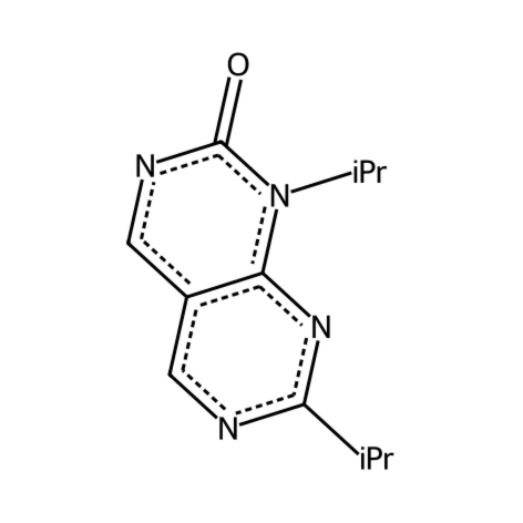 CC(C)c1ncc2cnc(=O)n(C(C)C)c2n1